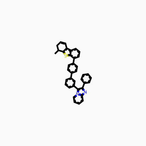 CC1CC=Cc2c1sc1c(-c3ccc(-c4cccc(-c5c(-c6ccccc6)nc6ccccn56)c4)cc3)cccc21